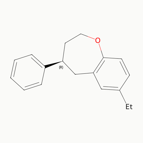 CCc1ccc2c(c1)C[C@@H](c1ccccc1)CCO2